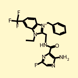 CCn1c(CNC(=O)c2nc(F)cnc2N)[n+](Cc2ccccc2)c2ccc(C(F)(F)F)cc21